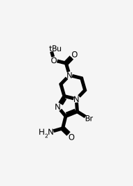 CC(C)(C)OC(=O)N1CCn2c(nc(C(N)=O)c2Br)C1